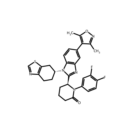 Cc1noc(C)c1-c1ccc2c(c1)nc([C@@H]1CCCC(=O)N1c1ccc(F)c(F)c1)n2[C@@H]1CCc2ncsc2C1